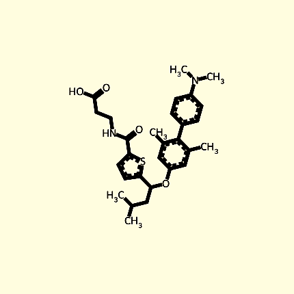 Cc1cc(OC(CC(C)C)c2ccc(C(=O)NCCC(=O)O)s2)cc(C)c1-c1ccc(N(C)C)cc1